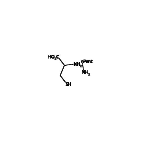 CCCCCN.NC(CS)C(=O)O